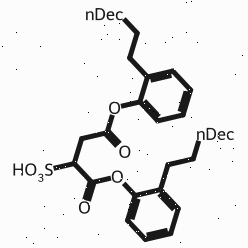 CCCCCCCCCCCCc1ccccc1OC(=O)CC(C(=O)Oc1ccccc1CCCCCCCCCCCC)S(=O)(=O)O